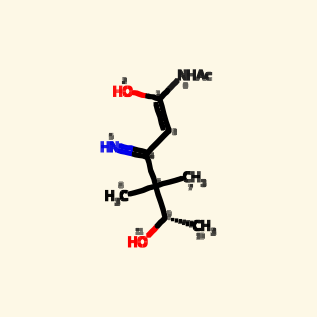 CC(=O)N/C(O)=C/C(=N)C(C)(C)[C@H](C)O